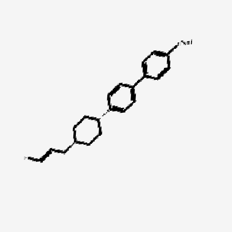 CCCCCc1ccc(-c2ccc([C@H]3CC[C@H](C/C=C/F)CC3)cc2)cc1